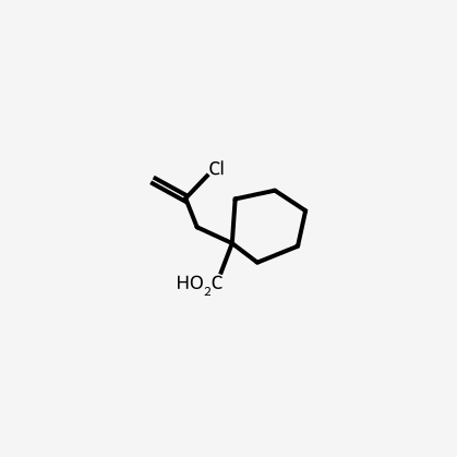 C=C(Cl)CC1(C(=O)O)CCCCC1